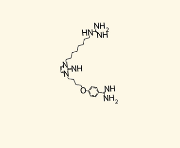 N=C(N)NCCCCCCCCn1ccn(CCCCOc2ccc(C(=N)N)cc2)c1=N